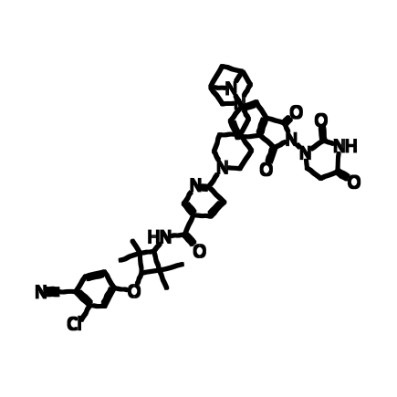 CC1(C)C(NC(=O)c2ccc(N3CCC(CN4CC5CC(C4)N5c4ccc5c(c4)C(=O)N(N4CCC(=O)NC4=O)C5=O)CC3)nc2)C(C)(C)C1Oc1ccc(C#N)c(Cl)c1